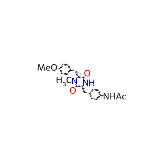 COc1ccc(/C=c2/c(=O)[nH]/c(=C\c3ccc(NC(C)=O)cc3)c(=O)n2C)cc1